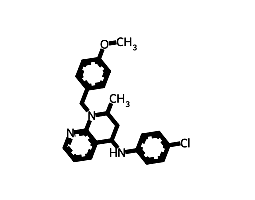 COc1ccc(CN2c3ncccc3C(Nc3ccc(Cl)cc3)CC2C)cc1